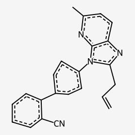 C=CCc1nc2ccc(C)nc2n1-c1ccc(-c2ccccc2C#N)cc1